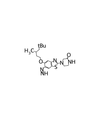 CC(CCOc1cc2nc(N3CCNC(=O)C3)sc2cc1N=N)CC(C)(C)C